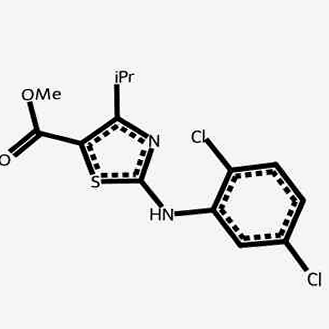 COC(=O)c1sc(Nc2cc(Cl)ccc2Cl)nc1C(C)C